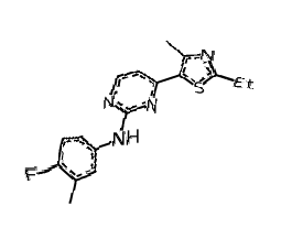 CCc1nc(C)c(-c2ccnc(Nc3ccc(F)c(C)c3)n2)s1